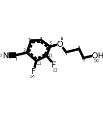 N#Cc1ccc(OCCCO)c(F)c1F